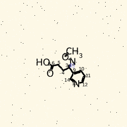 CO/N=C(\CCC(=O)O)c1cccnc1